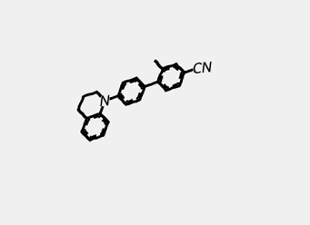 Cc1cc(C#N)ccc1-c1ccc(N2CCCc3ccccc32)cc1